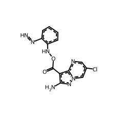 N=Nc1ccccc1NOC(=O)c1c(N)nn2cc(Cl)cnc12